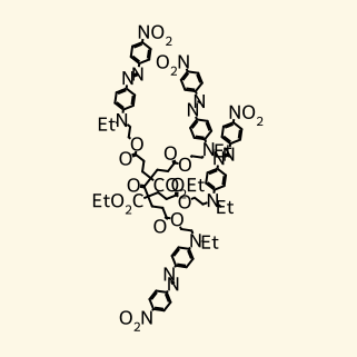 CCOC(=O)C(CCC(=O)OCCN(CC)c1ccc(/N=N/c2ccc([N+](=O)[O-])cc2)cc1)(CCC(=O)OCCN(CC)c1ccc(/N=N/c2ccc([N+](=O)[O-])cc2)cc1)C(=O)C(CCC(=O)OCCN(CC)c1ccc(/N=N/c2ccc([N+](=O)[O-])cc2)cc1)(CCC(=O)OCCN(CC)c1ccc(/N=N/c2ccc([N+](=O)[O-])cc2)cc1)C(=O)OCC